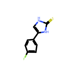 Fc1ccc(-c2c[nH]c(=S)[nH]2)cc1